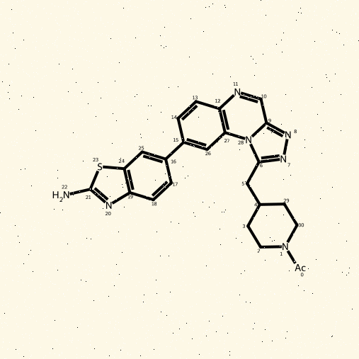 CC(=O)N1CCC(Cc2nnc3cnc4ccc(-c5ccc6nc(N)sc6c5)cc4n23)CC1